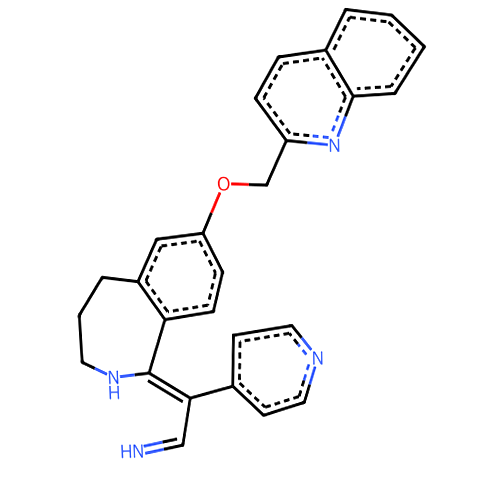 N=C/C(=C1\NCCCc2cc(OCc3ccc4ccccc4n3)ccc21)c1ccncc1